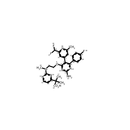 Cc1cc(-c2c(OCCN(C)c3nccc(C(C)(C)C(=O)O)n3)nc(N)nc2-c2ccc(F)cc2)cc(C(F)F)n1